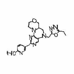 CCc1nnc(CN2CC3COCCN3c3nc(-c4ccc(O)nc4)ncc32)o1